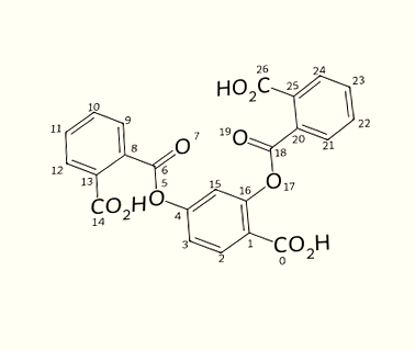 O=C(O)c1ccc(OC(=O)c2ccccc2C(=O)O)cc1OC(=O)c1ccccc1C(=O)O